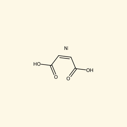 O=C(O)/C=C\C(=O)O.[N]